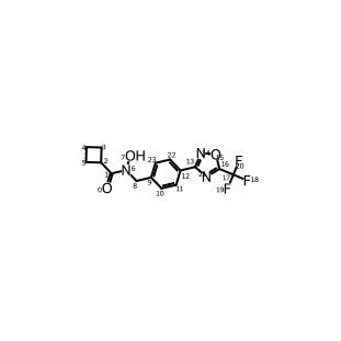 O=C(C1CCC1)N(O)Cc1ccc(-c2noc(C(F)(F)F)n2)cc1